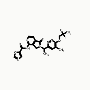 Cc1cc(C(C)N2Cc3c(ccnc3NC(=O)c3cnco3)C2=O)nnc1OCC(C)(F)F